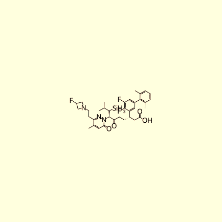 Cc1cc(=O)n([C@H](C(=O)CC[C@@H](CC(=O)O)c2cc(-c3c(C)cccc3C)cc(F)c2F)C([SiH3])C(C)C)nc1CCN1CC(F)C1